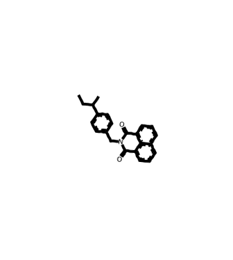 CCC(C)c1ccc(CN2C(=O)c3cccc4cccc(c34)C2=O)cc1